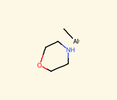 C1COCCN1.[CH3][Al]